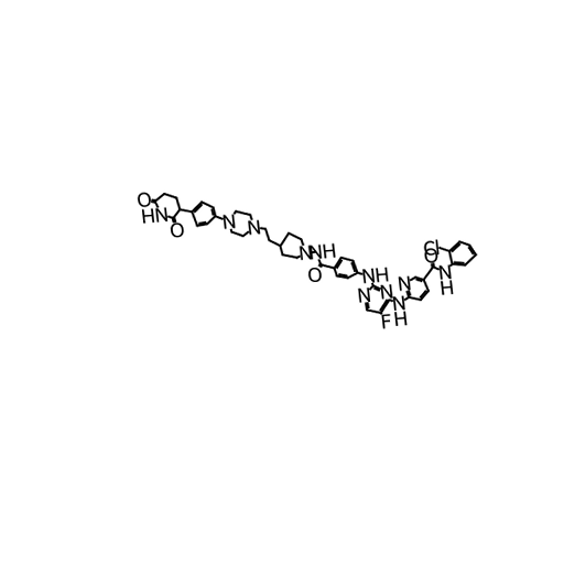 O=C1CCC(c2ccc(N3CCN(CCC4CCN(NC(=O)c5ccc(Nc6ncc(F)c(Nc7ccc(C(=O)Nc8ccccc8Cl)cn7)n6)cc5)CC4)CC3)cc2)C(=O)N1